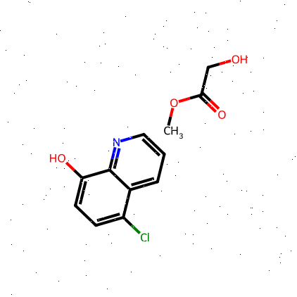 COC(=O)CO.Oc1ccc(Cl)c2cccnc12